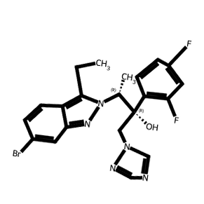 CCc1c2ccc(Br)cc2nn1[C@H](C)[C@](O)(Cn1cncn1)c1ccc(F)cc1F